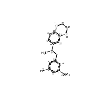 COc1cc(C(C)C)cc(CC(C)c2ccc3c(c2)OCCO3)n1